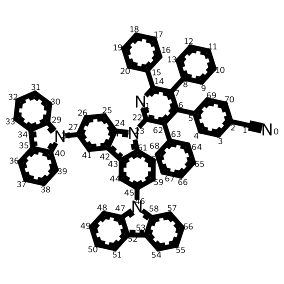 N#Cc1ccc(-c2c(-c3ccccc3)c(-c3ccccc3)nc(-n3c4ccc(-n5c6ccccc6c6ccccc65)cc4c4cc(-n5c6ccccc6c6ccccc65)ccc43)c2-c2ccccc2)cc1